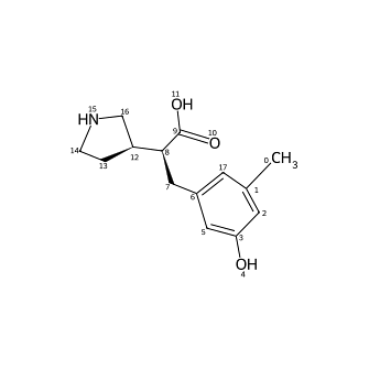 Cc1cc(O)cc(C[C@H](C(=O)O)[C@H]2CCNC2)c1